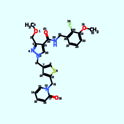 COCc1nn(Cc2csc(Cn3ccccc3=O)c2)cc1C(=O)NCc1cccc(OC)c1F